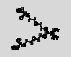 CC(C)N(C(C)C)P(OCCOCCSC(=O)C(C)(C)C)OCCOCCSC(=O)C(C)(C)C